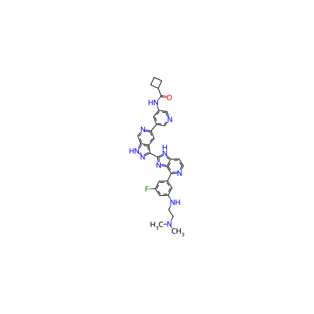 CN(C)CCNc1cc(F)cc(-c2nccc3[nH]c(-c4n[nH]c5cnc(-c6cncc(NC(=O)C7CCC7)c6)cc45)nc23)c1